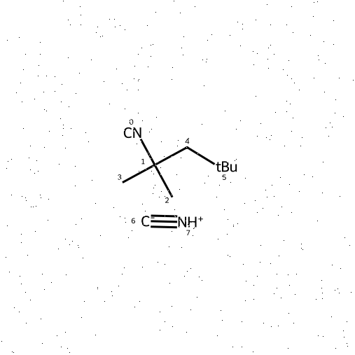 [C-]#[N+]C(C)(C)CC(C)(C)C.[C-]#[NH+]